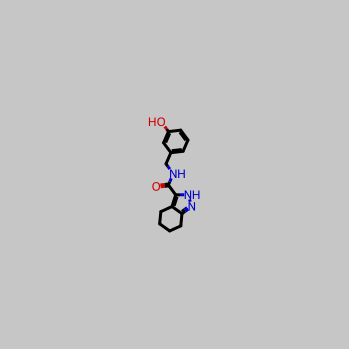 O=C(NCc1cccc(O)c1)c1[nH]nc2c1CCCC2